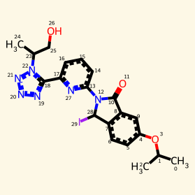 CC(C)Oc1ccc2c(c1)C(=O)N(c1cccc(-c3nnnn3C(C)CO)n1)C2I